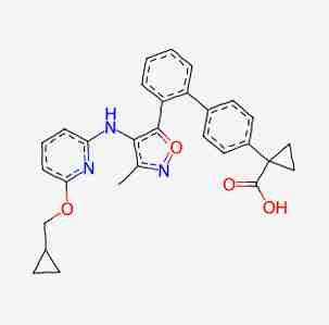 Cc1noc(-c2ccccc2-c2ccc(C3(C(=O)O)CC3)cc2)c1Nc1cccc(OCC2CC2)n1